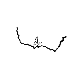 CCCCCCCC/C=C\CCCCCCCCC(CCCCCCCC/C=C\CCCCCCCC)NC(=O)CN(C)C